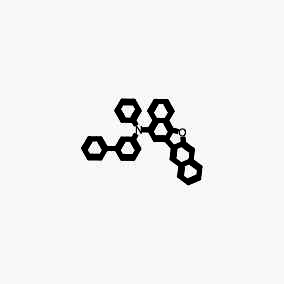 c1ccc(-c2cccc(N(c3ccccc3)c3cc4c5cc6ccccc6cc5oc4c4ccccc34)c2)cc1